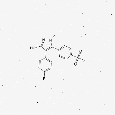 Cn1nc(O)c(-c2ccc(F)cc2)c1-c1ccc(S(C)(=O)=O)cc1